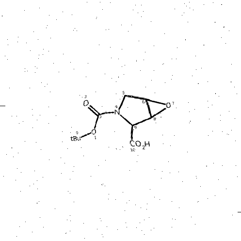 CC(C)(C)OC(=O)N1CC2OC2C1C(=O)O